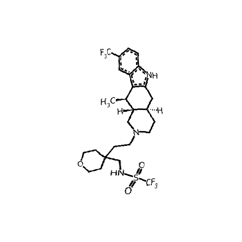 C[C@H]1c2c([nH]c3ccc(C(F)(F)F)cc23)C[C@H]2CCN(CCC3(CNS(=O)(=O)C(F)(F)F)CCOCC3)C[C@@H]21